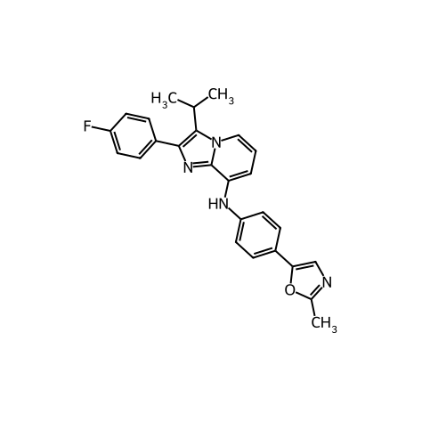 Cc1ncc(-c2ccc(Nc3cccn4c(C(C)C)c(-c5ccc(F)cc5)nc34)cc2)o1